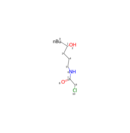 CCCCC(O)CCCNC(=O)CCl